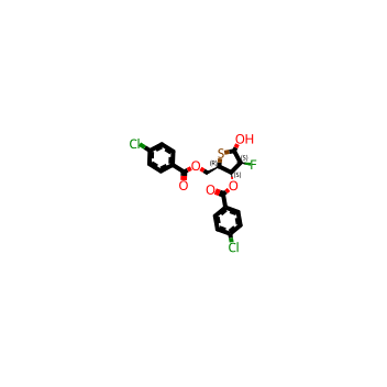 O=C(OC[C@H]1SC(O)[C@@H](F)[C@@H]1OC(=O)c1ccc(Cl)cc1)c1ccc(Cl)cc1